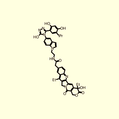 CCc1c2c(nc3ccc(CC(=O)NCCn4ccc5cc(-n6c(O)nnc6-c6cc(C(C)C)c(O)cc6O)ccc54)cc13)-c1cc3c(c(=O)n1C2)COC(=O)C3(O)CC